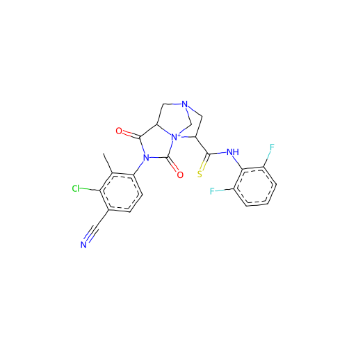 Cc1c(N2C(=O)C3CN4CC(C(=S)Nc5c(F)cccc5F)[N+]3(C4)C2=O)ccc(C#N)c1Cl